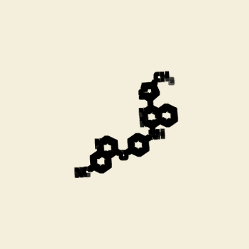 Cc1csc(-c2nnc(Nc3ccc(Oc4ccnc5cc(C#N)ccc45)cc3)c3ccccc23)c1